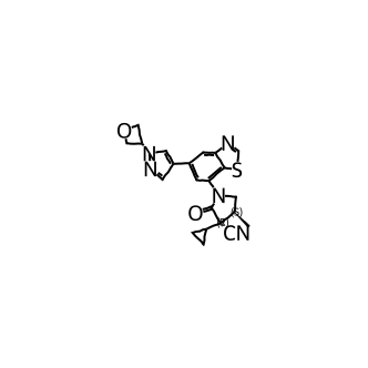 C[C@@H]1CN(c2cc(-c3cnn(C4COC4)c3)cc3ncsc23)C(=O)[C@]1(C#N)C1CC1